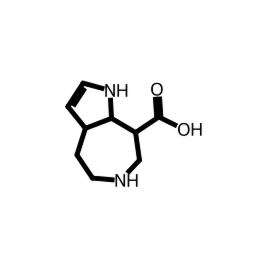 O=C(O)C1CNCCC2C=CNC21